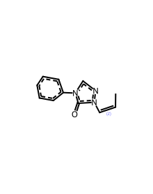 C/C=C\n1ncn(-c2ccccc2)c1=O